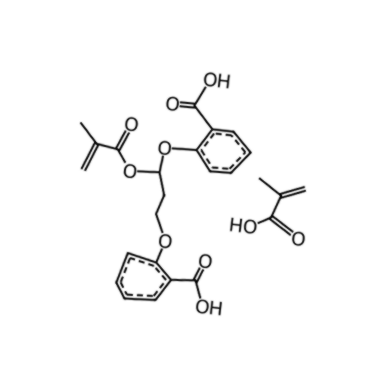 C=C(C)C(=O)O.C=C(C)C(=O)OC(CCOc1ccccc1C(=O)O)Oc1ccccc1C(=O)O